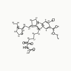 CCOC(=O)c1cc2c(cc1Cl)n1c([n+]2CCCCS(=O)(=O)NC(C)=O)C(=CC=C2SCCN2CC)CC1